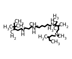 C=C(CC)CCN(C)CCC(=C)C(C)(CC)NCCCCCCNC(=C)CCNCCC(=C)C(C)(C)CC